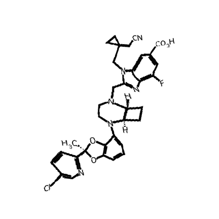 C[C@@]1(c2ccc(Cl)cn2)Oc2cccc(N3CCN(Cc4nc5c(F)cc(C(=O)O)cc5n4CC4(CC#N)CC4)[C@@H]4CC[C@H]43)c2O1